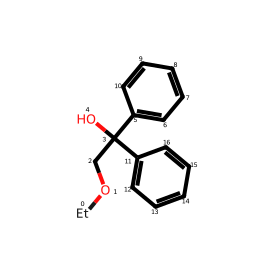 CCOCC(O)(c1ccccc1)c1ccccc1